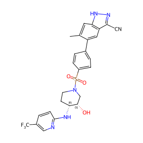 Cc1cc2[nH]nc(C#N)c2cc1-c1ccc(S(=O)(=O)N2CC[C@@H](Nc3ccc(C(F)(F)F)cn3)[C@@H](O)C2)cc1